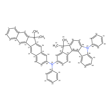 CC1(C)c2cc3ccccc3cc2-c2cc3ccc(N(c4ccccc4)c4ccc5c(c4)C(C)(C)c4ccc6c(c4-5)c4ccccc4n6-c4ccccc4)cc3cc21